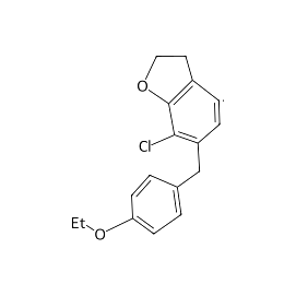 CCOc1ccc(Cc2c[c]c3c(c2Cl)OCC3)cc1